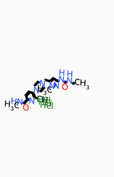 CCNC(=O)Nc1cc(CN2CCN(c3ccc(C(=O)NC)nc3C)CC2)n(C)n1.Cl.Cl.Cl